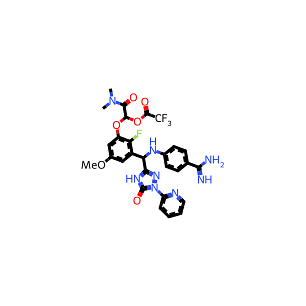 COc1cc(OC(OC(=O)C(F)(F)F)C(=O)N(C)C)c(F)c(C(Nc2ccc(C(=N)N)cc2)c2nn(-c3ccccn3)c(=O)[nH]2)c1